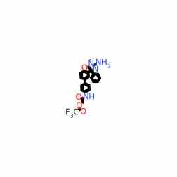 CN1C(=O)C(c2ccccc2)(c2cccc(-c3ccc(NC(=O)COC(=O)C(F)(F)F)cc3)c2)N=C1N